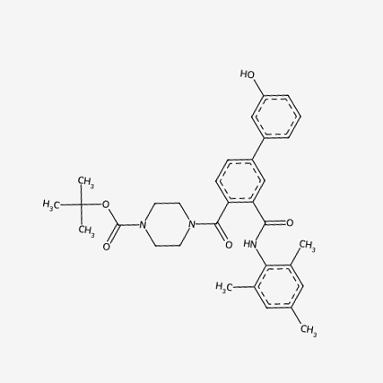 Cc1cc(C)c(NC(=O)c2cc(-c3cccc(O)c3)ccc2C(=O)N2CCN(C(=O)OC(C)(C)C)CC2)c(C)c1